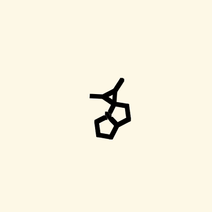 CC1C(C)C12CCC1CCCN12